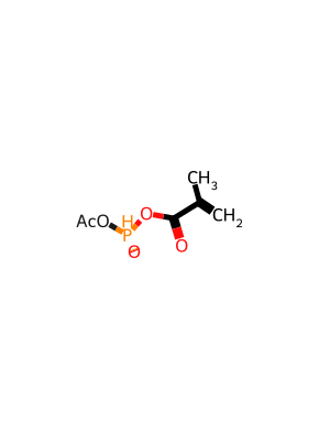 C=C(C)C(=O)O[PH](=O)OC(C)=O